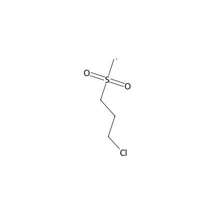 [CH2]S(=O)(=O)CCCCl